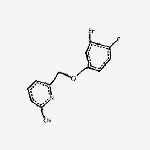 N#Cc1cccc(COc2ccc(F)c(Br)c2)n1